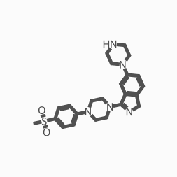 CS(=O)(=O)c1ccc(N2CCN(C3=NCc4ccc(N5CCNCC5)cc43)CC2)cc1